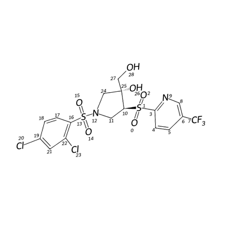 O=S(=O)(c1ccc(C(F)(F)F)cn1)[C@H]1CN(S(=O)(=O)c2ccc(Cl)cc2Cl)C[C@@]1(O)CO